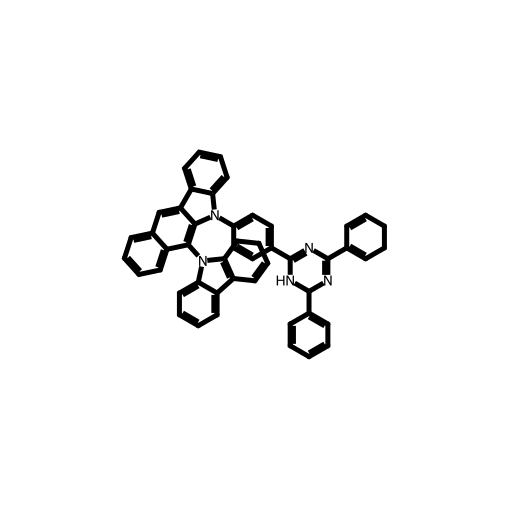 C1=CC(C2=NC(c3ccccc3)NC(c3ccc(-n4c5ccccc5c5cc6ccccc6c(-n6c7c(c8ccccc86)C=CCC7)c54)cc3)=N2)=CCC1